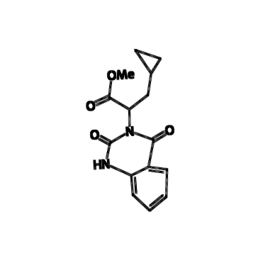 COC(=O)C(CC1CC1)n1c(=O)[nH]c2ccccc2c1=O